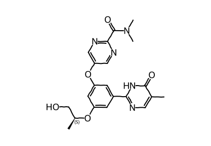 Cc1cnc(-c2cc(Oc3cnc(C(=O)N(C)C)nc3)cc(O[C@@H](C)CO)c2)[nH]c1=O